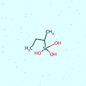 CCC(C)[Si](O)(O)O